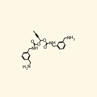 CC#CC(OC(=O)NCc1cccc(CN)c1)OC(=O)NCc1cccc(CN)c1